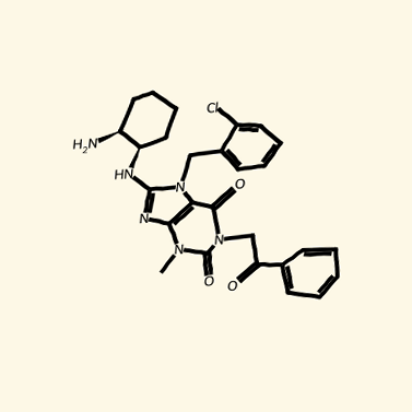 Cn1c(=O)n(CC(=O)c2ccccc2)c(=O)c2c1nc(N[C@@H]1CCCC[C@@H]1N)n2Cc1ccccc1Cl